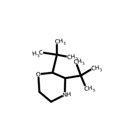 CC(C)(C)C1NCCOC1C(C)(C)C